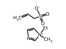 C=CCS(=O)(=O)[O-].CC[N+]1(C)C=CN=C1